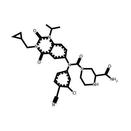 CC(C)n1c(=O)n(CC2CC2)c(=O)c2cc(N(C(=O)N3CCNC(C(N)=O)C3)c3ccc(C#N)c(Cl)c3)ccc21